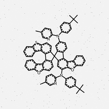 Cc1ccc(N(c2ccc(C(C)(C)C)cc2)c2ccc3c(c2)C2(c4ccc5oc6ccccc6c5c4-c4c2ccc2sc5ccccc5c42)c2cc(N(c4ccc(C(C)(C)C)cc4)c4ccc(C)cn4)c4oc5ccccc5c4c2-3)nc1